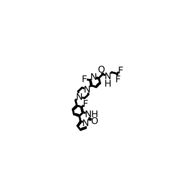 O=C(NCC(F)F)c1ccc(N2CCN(Cc3ccc4c([nH]c(=O)n5cccc45)c3F)CC2)c(F)n1